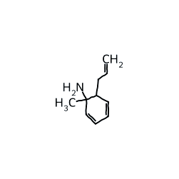 C=CCC1C=CC=CC1(C)N